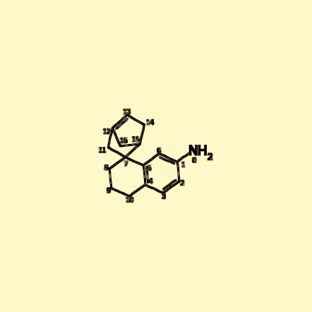 Nc1ccc2c(c1)C1(CCC2)CC2=CCC1C2